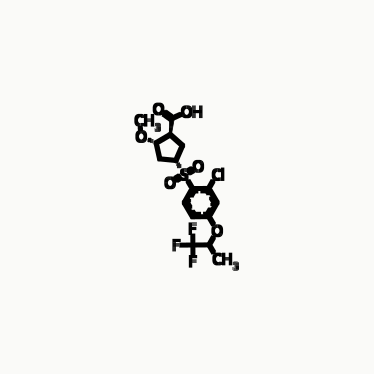 CO[C@H]1C[C@@H](S(=O)(=O)c2ccc(OC(C)C(F)(F)F)cc2Cl)C[C@@H]1C(=O)O